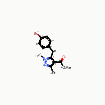 CCCn1nc(CC)c(C(=O)OC)c1Cc1ccc(Br)cc1